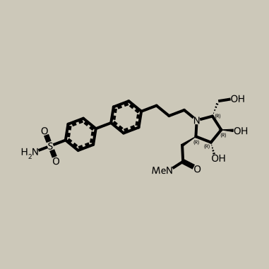 CNC(=O)C[C@@H]1[C@@H](O)[C@H](O)[C@@H](CO)N1CCCc1ccc(-c2ccc(S(N)(=O)=O)cc2)cc1